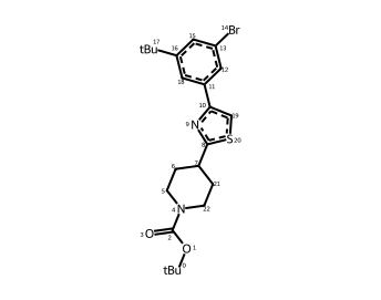 CC(C)(C)OC(=O)N1CCC(c2nc(-c3cc(Br)cc(C(C)(C)C)c3)cs2)CC1